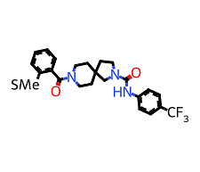 CSc1ccccc1C(=O)N1CCC2(CCN(C(=O)Nc3ccc(C(F)(F)F)cc3)C2)CC1